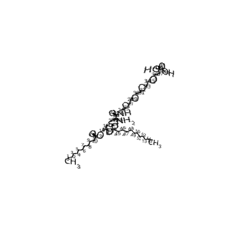 CCCCCCCCCCCC(=O)OC[C@H](CSC[C@H](N)C(=O)NCCOCCOCCOCCOCCP(=O)(O)O)OC(=O)CCCCCCCCCCC